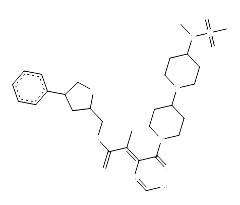 C=C(NCC1CC(c2ccccc2)CO1)/C(C)=C(\N=C/N)C(=O)N1CCC(N2CCC(N(C)S(C)(=O)=O)CC2)CC1